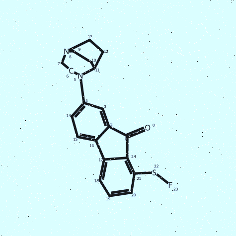 O=C1c2cc(N3CCN4CCC3CC4)ccc2-c2cccc(SF)c21